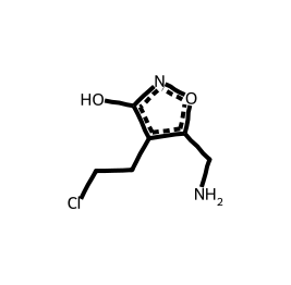 NCc1onc(O)c1CCCl